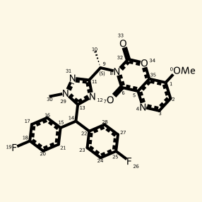 COc1ccnc2c(=O)n([C@@H](C)c3nc(C(c4ccc(F)cc4)c4ccc(F)cc4)n(C)n3)c(=O)oc12